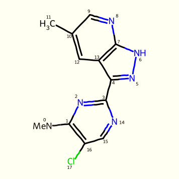 CNc1nc(-c2n[nH]c3ncc(C)cc23)ncc1Cl